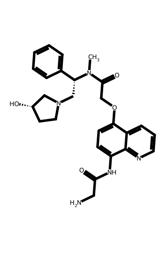 CN(C(=O)COc1ccc(NC(=O)CN)c2ncccc12)[C@H](CN1CC[C@H](O)C1)c1ccccc1